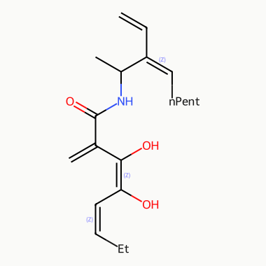 C=C/C(=C/CCCCC)C(C)NC(=O)C(=C)/C(O)=C(O)\C=C/CC